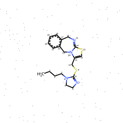 CCCCN1CCN=C1SCC1=CSC2=NCc3ccccc3CN12